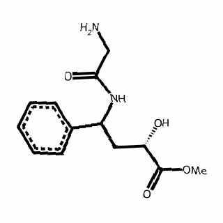 COC(=O)[C@@H](O)CC(NC(=O)CN)c1ccccc1